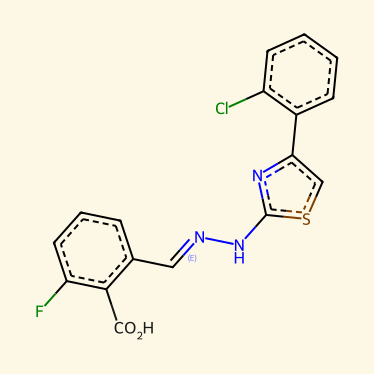 O=C(O)c1c(F)cccc1/C=N/Nc1nc(-c2ccccc2Cl)cs1